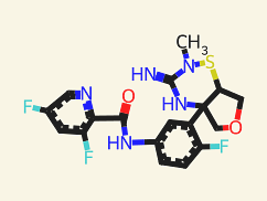 CN1SC2COCC2(c2cc(NC(=O)c3ncc(F)cc3F)ccc2F)NC1=N